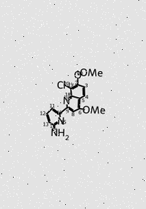 COOc1ccc2c(OC)cc(-c3cccc(N)n3)nc2c1Cl